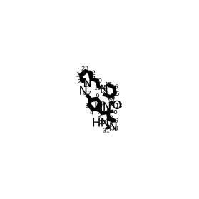 CC(Cc1ccc(C#N)cc1)(NC(=O)[C@H]1CCCN(CCc2ccccn2)C1)c1cnc[nH]1